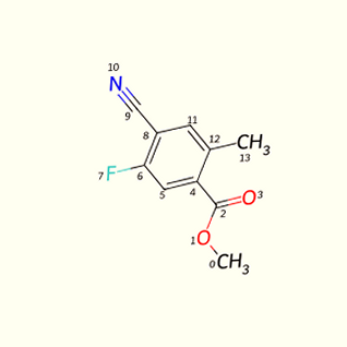 COC(=O)c1cc(F)c(C#N)cc1C